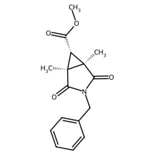 COC(=O)[C@H]1[C@]2(C)C(=O)N(Cc3ccccc3)C(=O)[C@]12C